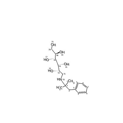 CC(C)(Cc1ccccc1)NC[C@H](O)[C@@H](O)[C@H](O)[C@H](O)CO